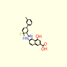 Cc1cccc(C2C=CC(C)(F)C(c3nc4c(ccc5cc(C(=O)O)cc(O)c54)[nH]3)=C2)c1